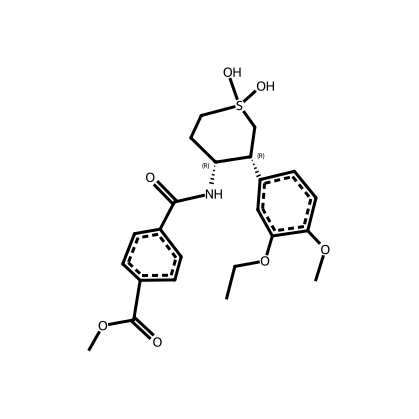 CCOc1cc([C@H]2CS(O)(O)CC[C@H]2NC(=O)c2ccc(C(=O)OC)cc2)ccc1OC